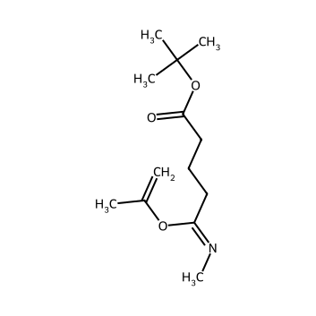 C=C(C)O/C(CCCC(=O)OC(C)(C)C)=N\C